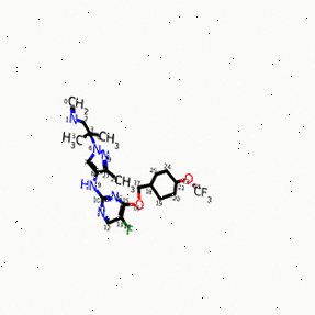 C=NCC(C)(C)n1cc(Nc2ncc(F)c(OCC3CCC(OC(F)(F)F)CC3)n2)c(C)n1